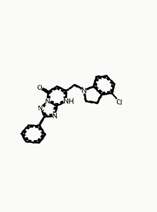 O=c1cc(CN2CCc3c(Cl)cccc32)[nH]c2nc(-c3ccccc3)nn12